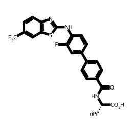 CCC[C@H](NC(=O)c1ccc(-c2ccc(Nc3nc4ccc(C(F)(F)F)cc4s3)c(F)c2)cc1)C(=O)O